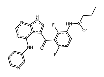 CCC[S+]([O-])Nc1ccc(F)c(C(=O)c2c[nH]c3ncnc(Nc4cccnc4)c23)c1F